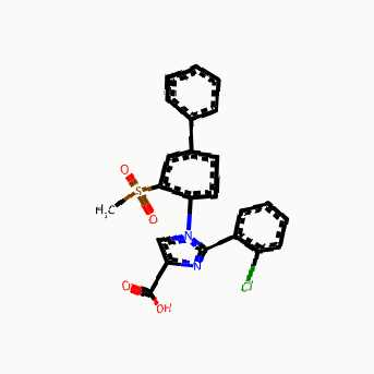 CS(=O)(=O)c1cc(-c2ccccc2)ccc1-n1cc(C(=O)O)nc1-c1ccccc1Cl